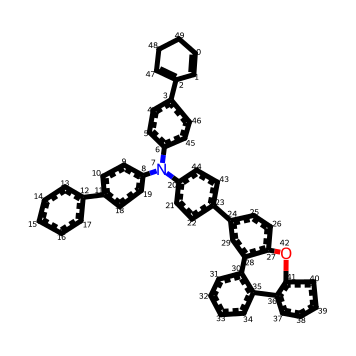 C1=CC(c2ccc(N(c3ccc(-c4ccccc4)cc3)c3ccc(-c4ccc5c(c4)-c4ccccc4-c4ccccc4O5)cc3)cc2)=CCC1